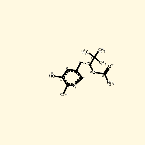 CC(C)(C)[C@@H](Cc1cnc(Cl)c(O)c1)OC(N)=O